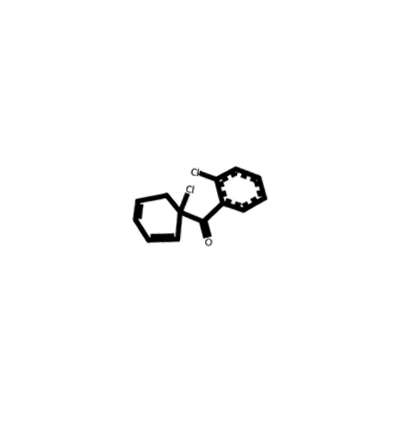 O=C(c1ccccc1Cl)C1(Cl)C=CC=CC1